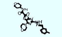 Cc1cccc(/C=N/Nc2nc(N3CCOCC3)c3nc(C(=O)NC4CCOCC4)oc3n2)c1